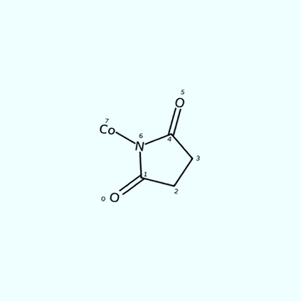 O=C1CCC(=O)[N]1[Co]